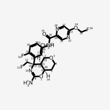 CC[C@@H]1OCC[C@H]2OC(N)=N[C@](CF)(c3cc(NC(=O)c4cnc(OCF)cn4)ccc3F)[C@@H]12